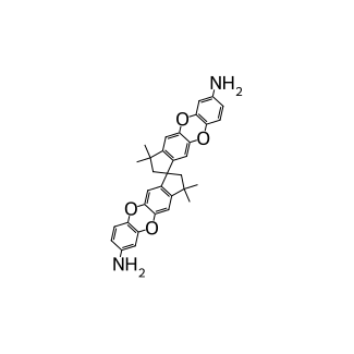 CC1(C)CC2(CC(C)(C)c3cc4c(cc32)Oc2ccc(N)cc2O4)c2cc3c(cc21)Oc1cc(N)ccc1O3